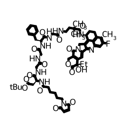 CC[C@@]1(O)C(=O)OCc2c1cc1n(c2=O)Cc2c-1nc1cc(F)c(C)c3c1c2[C@@H](NC(=O)C(C)(C)CCNC(=O)CNC(=O)[C@H](Cc1ccccc1)NC(=O)CNC(=O)CNC(=O)[C@H](CC(=O)OC(C)(C)C)NC(=O)CCCCCN1C(=O)C=CC1=O)CC3